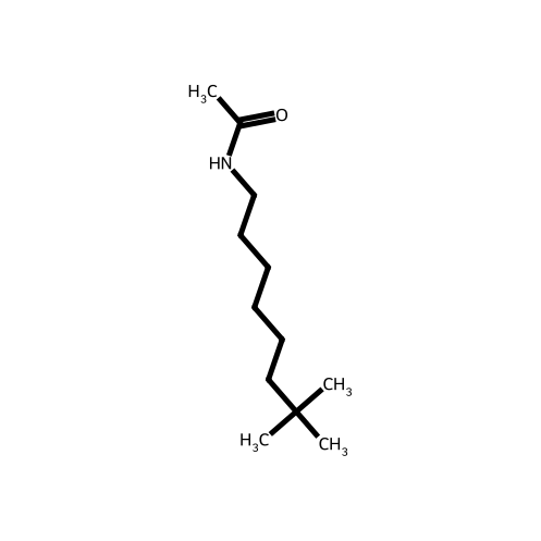 CC(=O)NCCCCCCC(C)(C)C